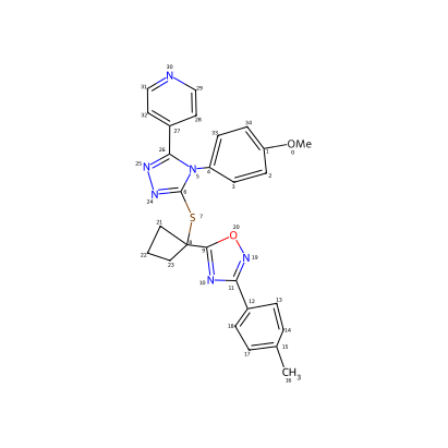 COc1ccc(-n2c(SC3(c4nc(-c5ccc(C)cc5)no4)CCC3)nnc2-c2ccncc2)cc1